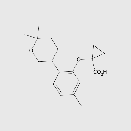 Cc1ccc(C2CCC(C)(C)OC2)c(OC2(C(=O)O)CC2)c1